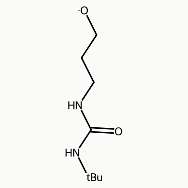 CC(C)(C)NC(=O)NCCC[O]